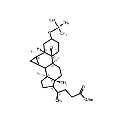 COC(=O)CC[C@@H](C)[C@H]1CC[C@H]2C3C4C[C@H]4[C@@H]4CC(O[Si](C)(C)C(C)(C)C)CC[C@]4(C)[C@H]3CC[C@]12C